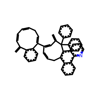 C=C1/C=C\C=C/C/C=C(C2=C\C(=C)C(c3ccccc3)(c3ccccc3)c3c(c4ccccc4c4ncccc34)C/C=C\2)\c2ccccc21